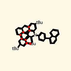 CC(C)(C)c1cc(-c2cccc3cccc(-c4ccccc4N(c4ccc(-c5cccc6ccccc56)cc4)c4cc(C(C)(C)C)ccc4-c4ccccc4)c23)cc(C(C)(C)C)c1